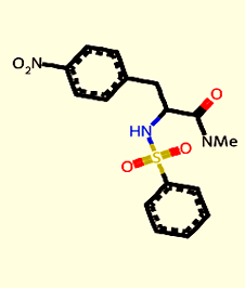 CNC(=O)C(Cc1ccc([N+](=O)[O-])cc1)NS(=O)(=O)c1ccccc1